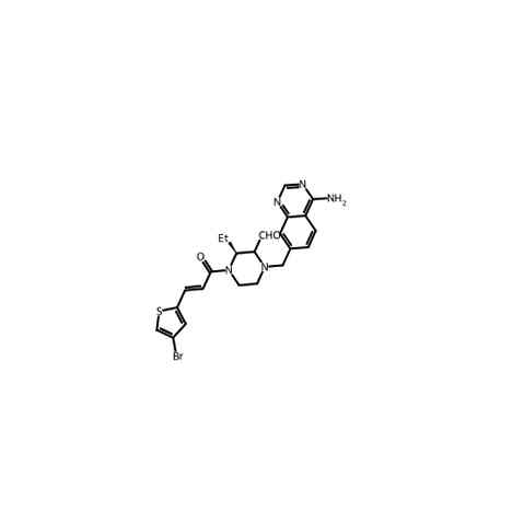 CC[C@H]1C(C=O)N(Cc2ccc3c(N)ncnc3c2)CCN1C(=O)C=Cc1cc(Br)cs1